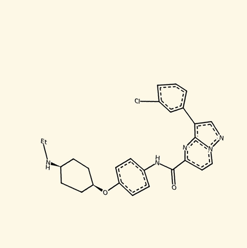 CCN[C@H]1CC[C@@H](Oc2ccc(NC(=O)c3ccn4ncc(-c5cccc(Cl)c5)c4n3)cc2)CC1